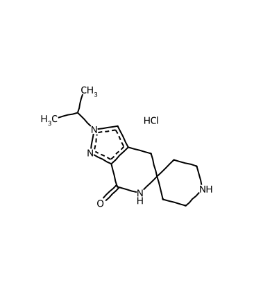 CC(C)n1cc2c(n1)C(=O)NC1(CCNCC1)C2.Cl